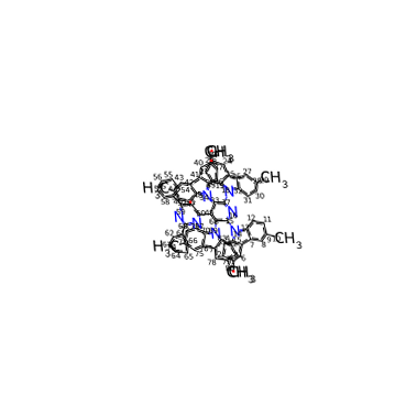 Cc1ccc2c(c1)c1cc(C)ccc1n2-c1nc(-n2c3ccc(C)cc3c3cc(C)ccc32)c(-n2c3ccc(C)cc3c3cc(C)ccc32)c(-c2cc(-c3ccccc3)nc(-c3ccccc3)n2)c1-n1c2ccc(C)cc2c2cc(C)ccc21